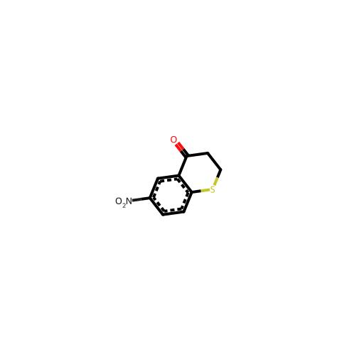 O=C1CCSc2ccc([N+](=O)[O-])cc21